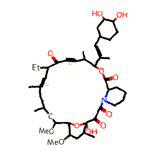 CCC1/C=C(\C)CC(C)CC(OC)C2OC(O)(C(=O)C(=O)N3CCCCC3C(=O)OC(C(C)=CC3CCC(O)C(O)C3)C(C)/C=C/C1=O)C(C)CC2OC